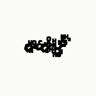 Nc1nc(/C(=N/O)C(=O)N[C@@H]2C(=O)N3C(C(=O)O)=C(CSc4ncccn4)CS[C@H]23)cs1